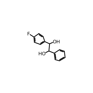 OC(c1ccccc1)C(O)c1ccc(F)cc1